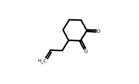 C=CCC1CCCC(=O)C1=O